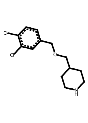 Clc1ccc(COCC2[CH]CNCC2)cc1Cl